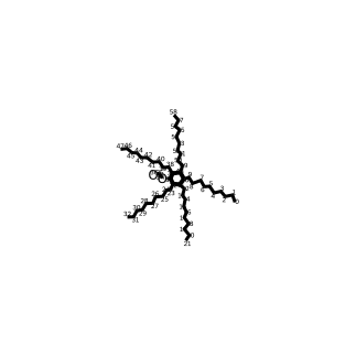 CCCCCCCCCCc1c(CCCCCCCCCC)c(CCCCCCCCCC)c(O[C]=O)c(CCCCCCCCCC)c1CCCCCCCCCC